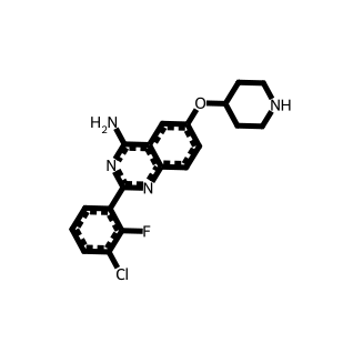 Nc1nc(-c2cccc(Cl)c2F)nc2ccc(OC3CCNCC3)cc12